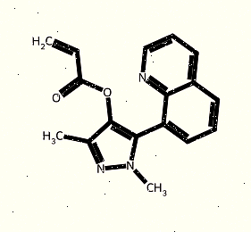 C=CC(=O)Oc1c(C)nn(C)c1-c1cccc2cccnc12